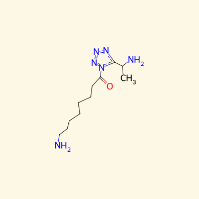 CC(N)c1nnnn1C(=O)CCCCCCCN